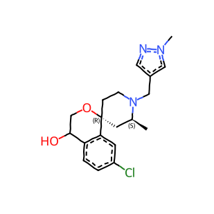 C[C@H]1C[C@@]2(CCN1Cc1cnn(C)c1)OCC(O)c1ccc(Cl)cc12